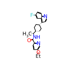 CCOc1ccc(C(=O)N[C@H](C)[C@H]2CC[C@@H](c3ccnc4ccc(F)cc43)CC2)nc1